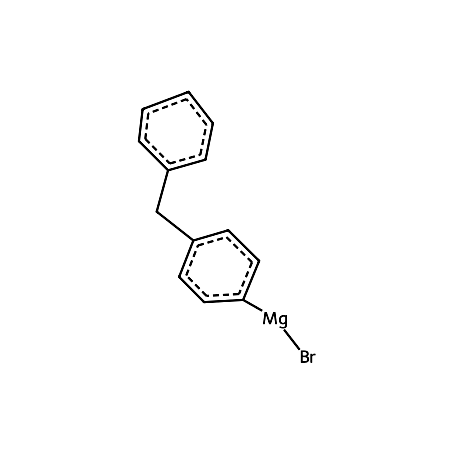 [Br][Mg][c]1ccc(Cc2ccccc2)cc1